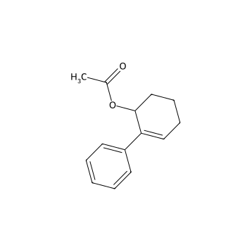 CC(=O)OC1CCCC=C1c1ccccc1